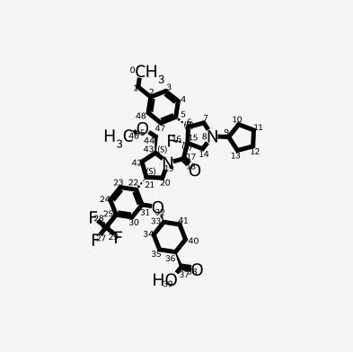 CCc1ccc([C@@H]2CN(C3CCCC3)C[C@@]2(F)C(=O)N2C[C@H](c3ccc(C(F)(F)F)cc3O[C@H]3CC[C@H](C(=O)O)CC3)C[C@H]2COC)cc1